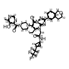 CCc1c(N2CCN(C(=O)c3ncnc(C)c3O)CC2)c(=O)n2nc(-c3ccc4c(c3)CCOC4)nc2n1CC(=O)NC12CC(C(F)(F)C(F)(F)F)(C1)C2